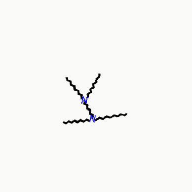 CCCCCCCCCCN(CCCCCCCCCC)CCCCCCN(CCCCCCCCCC)CCCCCCCCCC